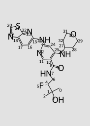 CC(C)(O)[C@H](F)CNC(=O)c1cnc(Nc2ccc3ncsc3n2)cc1NC1CCOCC1